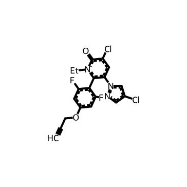 C#CCOc1cc(F)c(-c2c(-n3cc(Cl)cn3)cc(Cl)c(=O)n2CC)c(F)c1